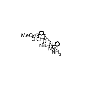 CCCCc1nc2c(N)nc3ccccc3c2n1CCCN(Cc1cccc(OCC(=O)OC)c1)C(=O)CCl